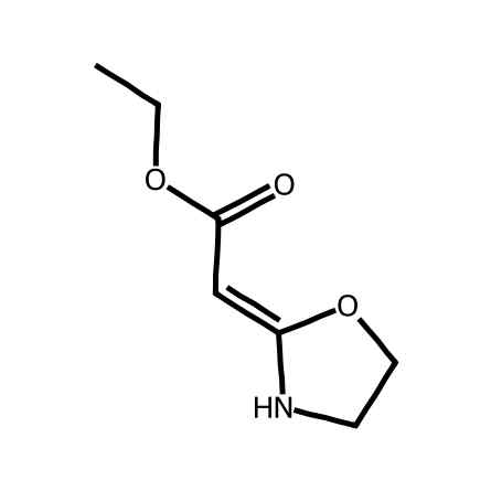 CCOC(=O)C=C1NCCO1